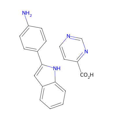 Nc1ccc(-c2cc3ccccc3[nH]2)cc1.O=C(O)c1ccncn1